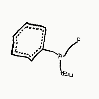 CC(C)(C)P(F)c1ccccc1